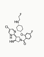 N=C1CN(C(=O)c2ccc(F)cc2O[C@H]2CC[C@@H](NCCF)CC2)C/C1=C1\N=CC(Cl)=CN1